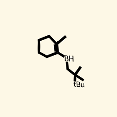 CC1=C(BCC(C)(C)C(C)(C)C)CCCC1